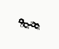 c1ccc2c(c1)oc1cnc(-c3cc4cnccc4cn3)cc12